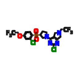 O=S(=O)(c1ccc(OCC(F)(F)F)cc1Cl)C1CCN(c2nc(Cl)nc3c2CN(CC(F)(F)F)C3)C1